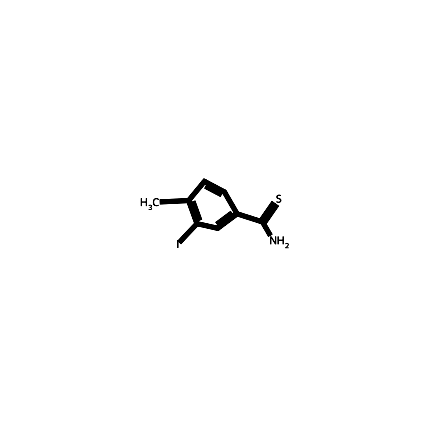 Cc1ccc(C(N)=S)cc1I